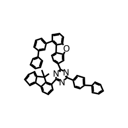 CC1(C)c2ccccc2-c2cccc(-c3nc(-c4ccc(-c5ccccc5)cc4)nc(-c4ccc5c(c4)oc4cccc(-c6cccc(-c7ccccc7)c6)c45)n3)c21